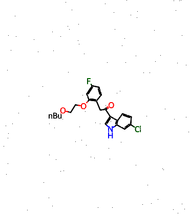 CCCCOCCOc1cc(F)ccc1CC(=O)c1c[nH]c2cc(Cl)ccc12